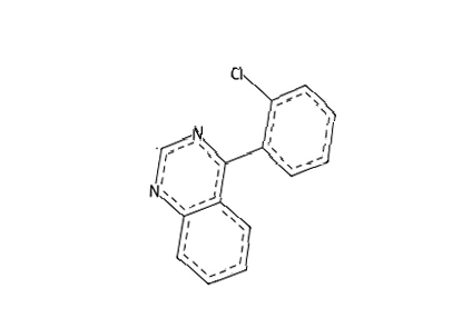 Clc1ccccc1-c1n[c]nc2ccccc12